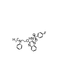 CN(CCOc1nc2ccccc2nc1NS(=O)(=O)c1ccc(F)cc1)c1ccccc1